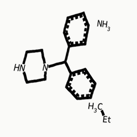 CCC.N.c1ccc(C(c2ccccc2)N2CCNCC2)cc1